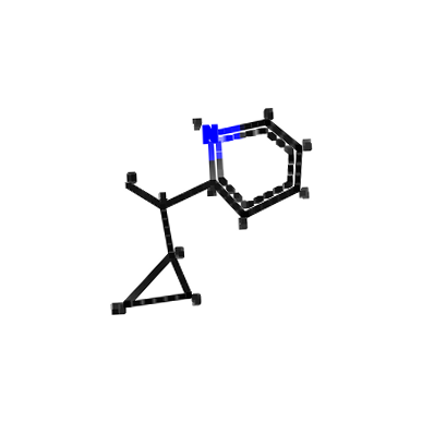 CC(c1ccccn1)C1CC1